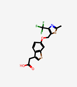 Cc1nc(C(F)(F)F)c(COc2ccc3c(CC(=O)O)csc3c2)s1